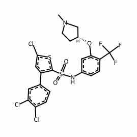 CN1CC[C@@H](Oc2cc(NS(=O)(=O)c3sc(Cl)cc3-c3ccc(Cl)c(Cl)c3)ccc2C(F)(F)F)C1